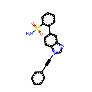 NS(=O)(=O)c1ccccc1-c1ccc2c(c1)ncn2C#Cc1ccccc1